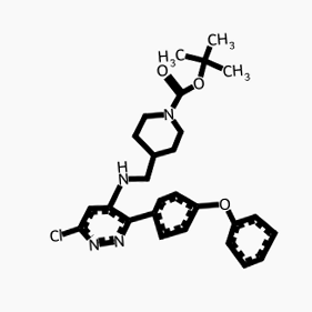 CC(C)(C)OC(=O)N1CCC(CNc2cc(Cl)nnc2-c2ccc(Oc3ccccc3)cc2)CC1